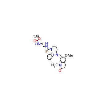 COc1cc2c(cc1CNC1CCCN(C(=S)NCCNC(=O)OC(C)(C)C)C1c1ccccc1)N(C)C(=O)CC2